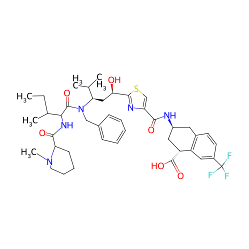 CCC(C)C(NC(=O)C1CCCCN1C)C(=O)N(Cc1ccccc1)[C@H](C[C@@H](O)c1nc(C(=O)N[C@H]2Cc3ccc(C(F)(F)F)cc3[C@H](C(=O)O)C2)cs1)C(C)C